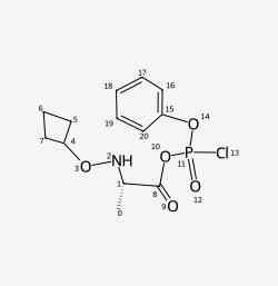 C[C@H](NOC1CCC1)C(=O)OP(=O)(Cl)Oc1ccccc1